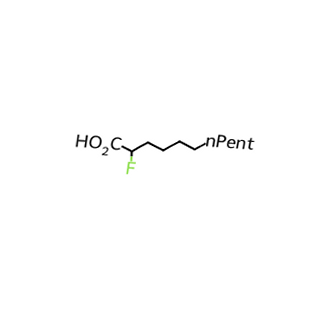 CCCCCCCCCC(F)C(=O)O